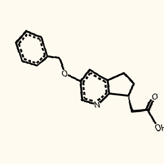 O=C(O)C[C@@H]1CCc2cc(OCc3ccccc3)cnc21